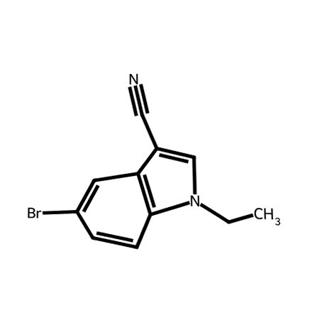 CCn1cc(C#N)c2cc(Br)ccc21